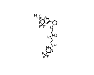 COc1ncc(C2CCC[C@H]2OCCC(=O)NCCNc2ncc(C(F)(F)F)cn2)cc1C(F)(F)F